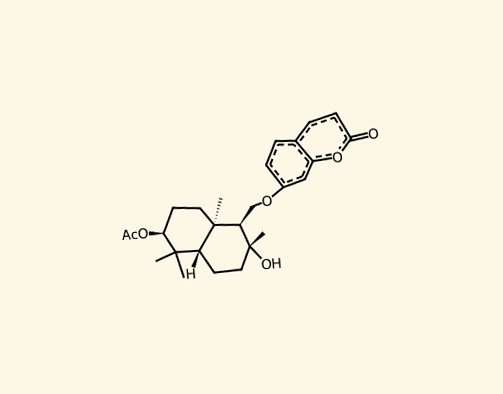 CC(=O)O[C@H]1CC[C@]2(C)[C@H](CC[C@@](C)(O)[C@@H]2COc2ccc3ccc(=O)oc3c2)C1(C)C